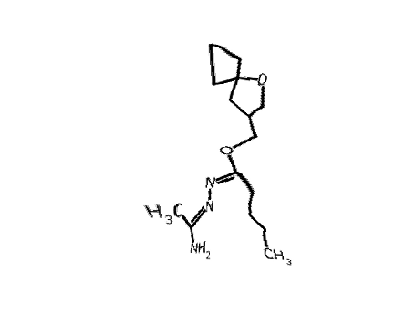 CCCC/C(=N\N=C(/C)N)OCC1COC2(CCC2)C1